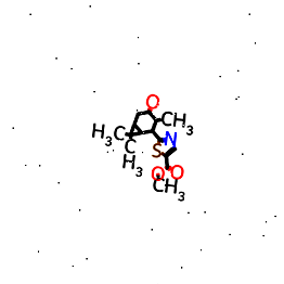 COC(=O)c1cnc(C2C(C)C(=O)CC3C2C3(C)C)s1